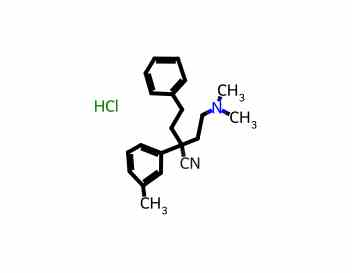 Cc1cccc(C(C#N)(CCc2ccccc2)CCN(C)C)c1.Cl